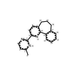 Cc1ccnc(-c2ccc3c(n2)-c2ccccc2CCC3)n1